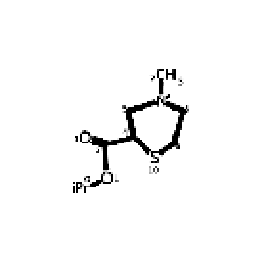 CC(C)OC(=O)C1CN(C)CCS1